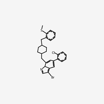 CSc1ccccc1CC1CCC(CC2=CC(c3ccccc3Cl)=CC3=C(Br)C=NC23)CC1